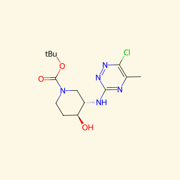 Cc1nc(N[C@H]2CN(C(=O)OC(C)(C)C)CC[C@@H]2O)nnc1Cl